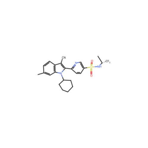 Cc1ccc2c(C#N)c(-c3ccc(S(=O)(=O)N[C@H](C)C(F)(F)F)cn3)n(C3CCCCC3)c2c1